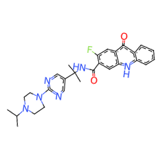 CC(C)N1CCN(c2ncc(C(C)(C)NC(=O)c3cc4[nH]c5ccccc5c(=O)c4cc3F)cn2)CC1